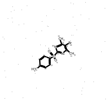 Cc1ccc(S(=O)(=O)c2nc(C)c(Br)c(C)n2)cc1